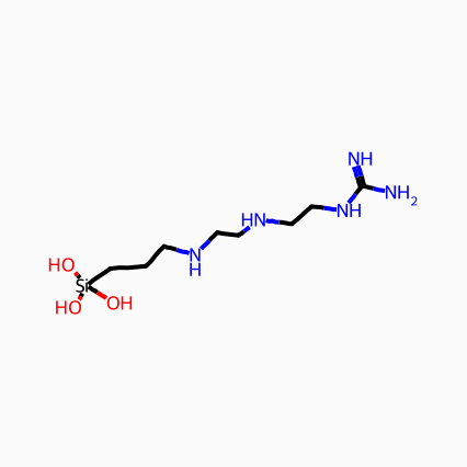 N=C(N)NCCNCCNCCC[Si](O)(O)O